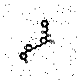 CC1CN(CCCN2C=COC(C3=CC=CC(=O)C3)=C2)CCC1NC(=O)Cc1ccccc1